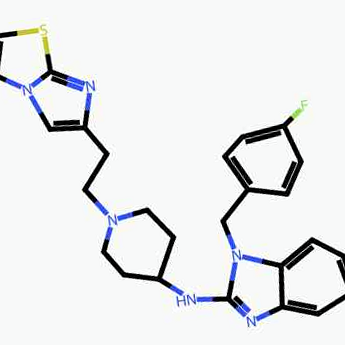 Fc1ccc(Cn2c(NC3CCN(CCc4cn5ccsc5n4)CC3)nc3ccccc32)cc1